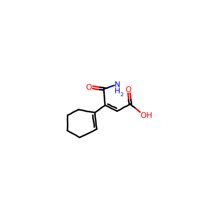 NC(=O)C(=CC(=O)O)C1=CCCCC1